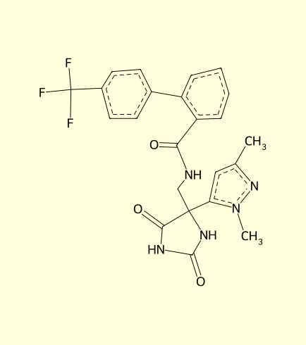 Cc1cc(C2(CNC(=O)c3ccccc3-c3ccc(C(F)(F)F)cc3)NC(=O)NC2=O)n(C)n1